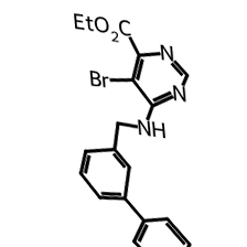 CCOC(=O)c1ncnc(NCc2cccc(-c3ccccc3)c2)c1Br